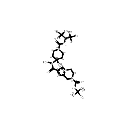 CN(C(=O)c1cn2c(n1)CN(C(=O)OC(C)(C)C)CC2)C1(C)CCN(C(=O)OC(C(F)(F)F)C(F)(F)F)CC1